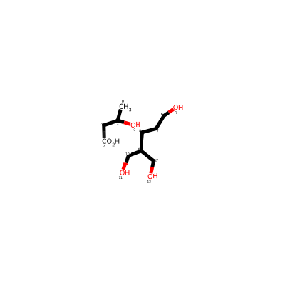 CC(O)CC(=O)O.OCCCC(CO)CO